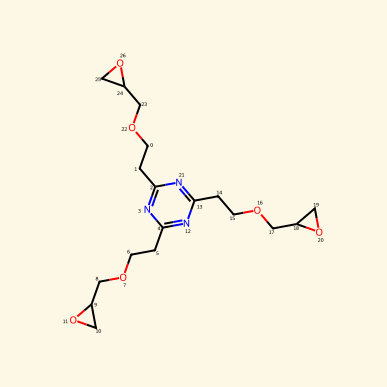 C(Cc1nc(CCOCC2CO2)nc(CCOCC2CO2)n1)OCC1CO1